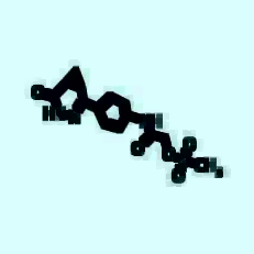 CS(=O)(=O)OCC(=O)Nc1ccc(C2=NNC(=O)C3CC23)cc1